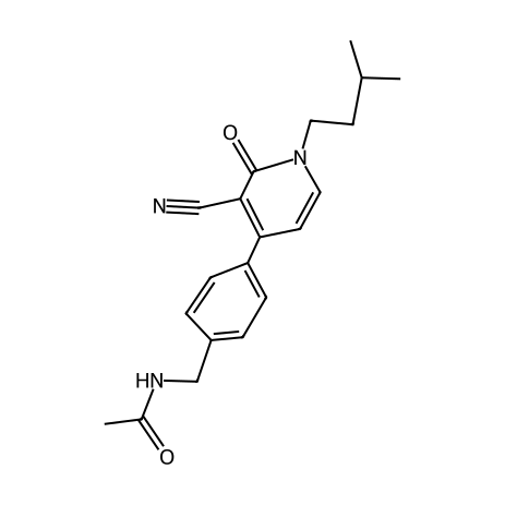 CC(=O)NCc1ccc(-c2ccn(CCC(C)C)c(=O)c2C#N)cc1